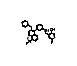 Oc1ccc(F)cc1CNc1cccc(-c2c(Cc3ccccc3)cnc3c(C(F)(F)F)cccc23)c1